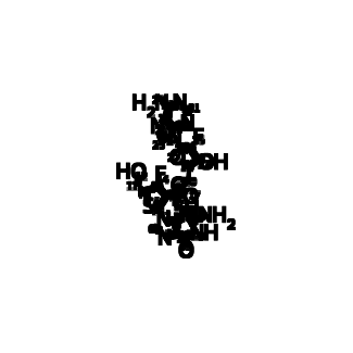 Nc1nc2c(ncn2[C@@H]2S[C@H](CO)[C@H](F)[C@H]2P(=O)(S)OC[C@H]2O[C@@H](n3cnc4c(N)ncnc43)[C@@H](F)[C@@H]2O)c(=O)[nH]1